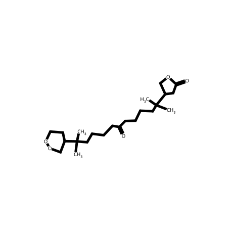 CC(C)(CCCCC(=O)CCCCC(C)(C)C1COC(=O)C1)C1CCOOC1